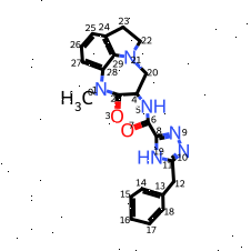 CN1C(=O)C(NC(=O)c2nnc(Cc3ccccc3)[nH]2)CN2CCc3cccc1c32